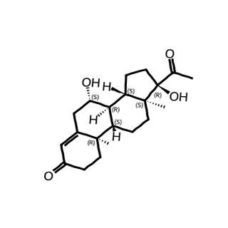 CC(=O)[C@@]1(O)CC[C@H]2[C@@H]3[C@@H](O)CC4=CC(=O)CC[C@]4(C)[C@H]3CC[C@@]21C